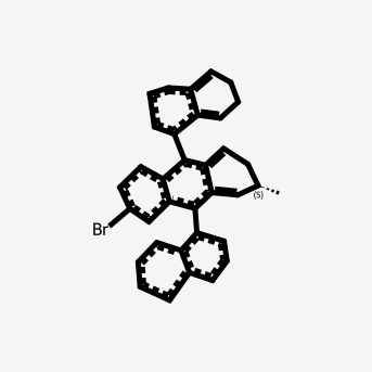 C[C@@H]1C=c2c(-c3cccc4ccccc34)c3cc(Br)ccc3c(-c3cccc4c3=CCCC=4)c2=CC1